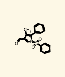 Cc1c(C=O)cn(S(=O)(=O)c2ccccc2)c1-c1ccccc1